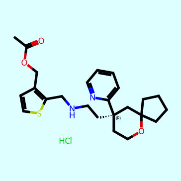 CC(=O)OCc1ccsc1CNCC[C@@]1(c2ccccn2)CCOC2(CCCC2)C1.Cl